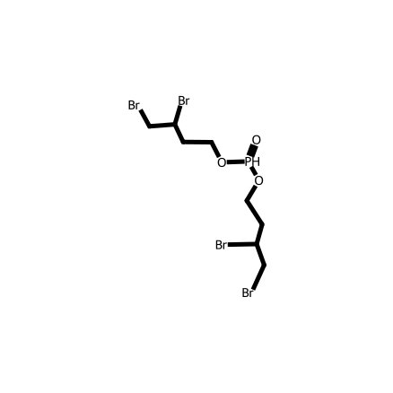 O=[PH](OCCC(Br)CBr)OCCC(Br)CBr